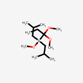 CCC(OC)(OC)[Si](CC(C)C)(CC(C)C)OC